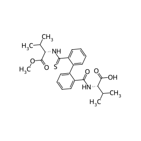 COC(=O)[C@@H](NC(=S)c1ccccc1-c1ccccc1C(=O)N[C@H](C(=O)O)C(C)C)C(C)C